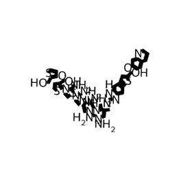 CC1=CN(N)C(N)N=C1C.Nc1cnccn1.Nc1nc2ccccc2[nH]1.Nc1ncc[nH]1.Nc1nccs1.O=C(O)c1cccs1.O=C(O)c1ccsc1.OCc1cccs1.c1ccc2ncccc2c1